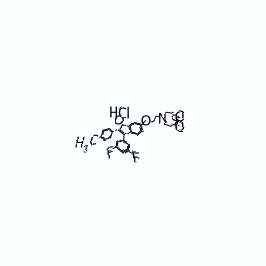 Cc1ccc(C2=C(c3cc(F)cc(F)c3)c3ccc(OCCN4CCS(=O)(=O)CC4)cc3C2=O)cc1.Cl